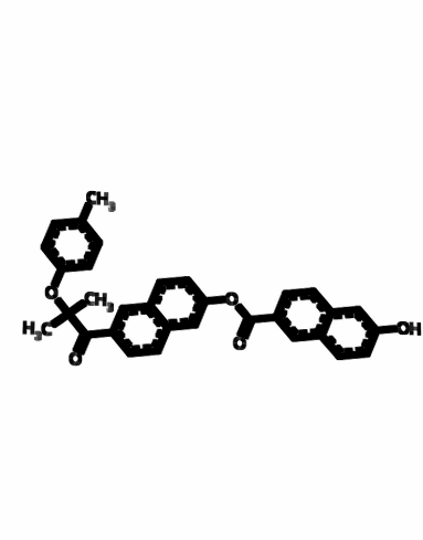 Cc1ccc(OC(C)(C)C(=O)c2ccc3cc(OC(=O)c4ccc5cc(O)ccc5c4)ccc3c2)cc1